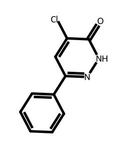 O=c1[nH]nc(-c2ccccc2)cc1Cl